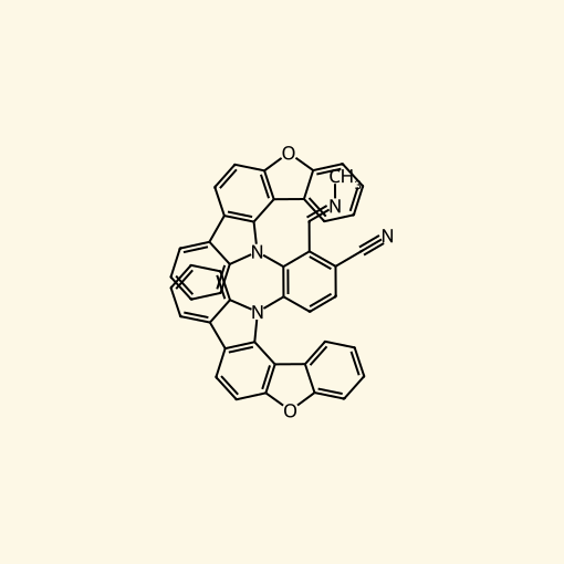 C/N=C/c1c(C#N)ccc(-n2c3ccccc3c3ccc4oc5ccccc5c4c32)c1-n1c2ccccc2c2ccc3oc4ccccc4c3c21